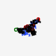 CC(=O)N1CCC(N(C)C(=O)C[C@@H](NS(=O)(=O)Cc2ccccc2)C(=O)N2CCC[C@H]2C(=O)NCc2cc(Cl)ccc2CN)CC1